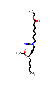 CCCCC[C@H](C#CCN(C#N)CCCCCCC(=O)OCC)OC(C)=O